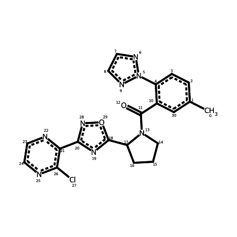 Cc1ccc(-n2nccn2)c(C(=O)N2CCCC2c2nc(-c3nccnc3Cl)no2)c1